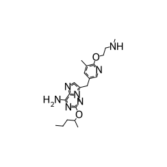 CCCC(C)Oc1nc(N)c2ncc(Cc3cnc(OCCNC)c(C)c3)n2n1